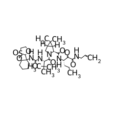 C=CCNC(=O)C(=O)[C@H](CCC)NC(=O)[C@@H]1[C@@H]2[C@H](CN1C(=O)[C@@H](NC(=O)NC1(C3OCCS3(=O)=O)CCCCC1)C(C)(C)C)C2(C)C